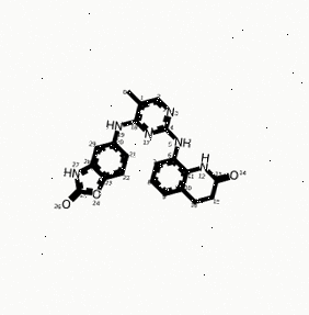 Cc1cnc(Nc2cccc3c2NC(=O)CC3)nc1Nc1ccc2oc(=O)[nH]c2c1